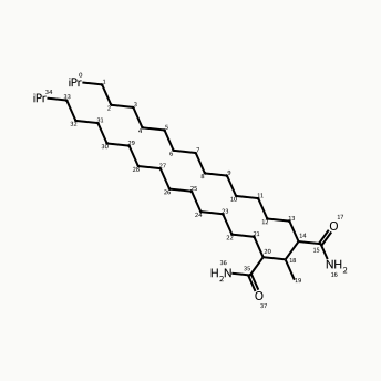 CC(C)CCCCCCCCCCCCCC(C(N)=O)C(C)C(CCCCCCCCCCCCCC(C)C)C(N)=O